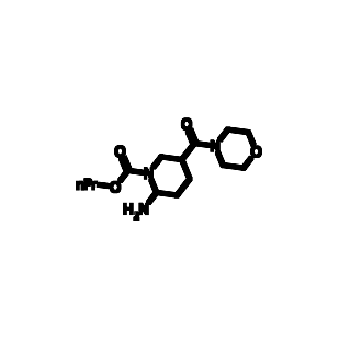 CCCOC(=O)N1CC(C(=O)N2CCOCC2)CCC1N